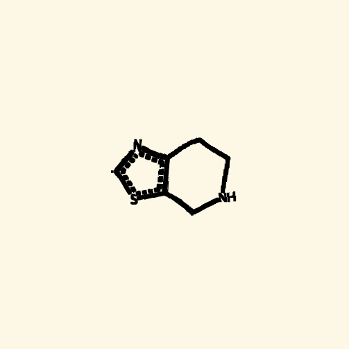 [c]1nc2c(s1)CNCC2